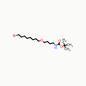 CC(C)(C)OC(=O)NCCCCOCCCCCCCCBr